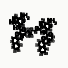 CCN(Cc1cccc2ccccc12)C(=O)C(=O)Nc1cnc(N)c2cn[nH]c12.CCN(Cc1cccc2ccccc12)C(=O)C(=O)Nc1cnc(N)c2cnn(COCC[Si](C)(C)C)c12